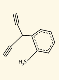 C#CC(C#C)c1ccccc1[SiH3]